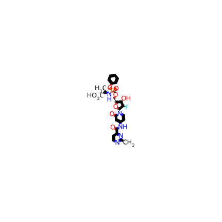 Cc1nccc(C(=O)Nc2ccn([C@@H]3O[C@H](CO[P@@](=O)(NC(C)C(=O)O)Oc4ccccc4)[C@@H](O)[C@H]3F)c(=O)c2)n1